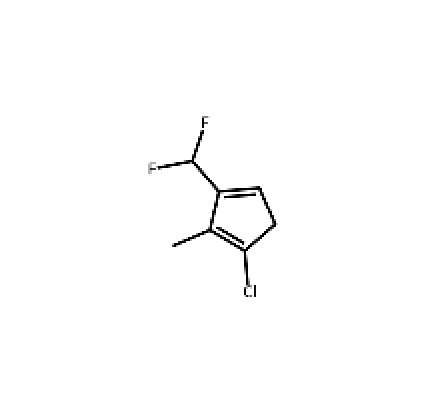 CC1=C(Cl)CC=C1C(F)F